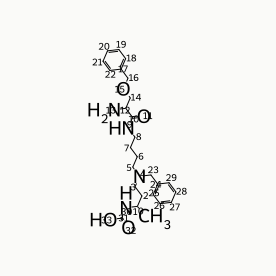 CC(CCN(CCCCNC(=O)C(N)COCc1ccccc1)Cc1ccccc1)NC(=O)O